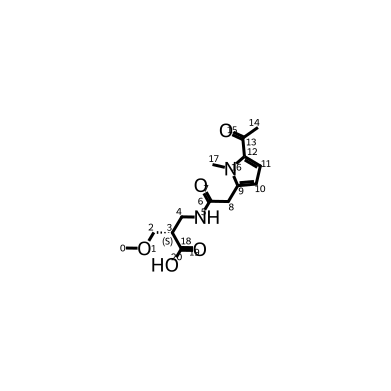 COC[C@H](CNC(=O)Cc1ccc(C(C)=O)n1C)C(=O)O